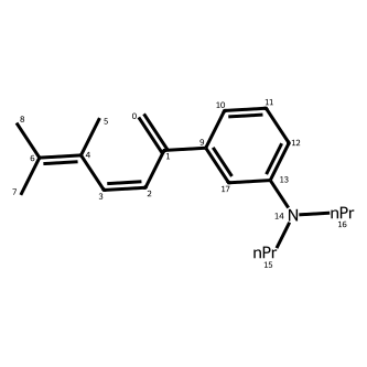 C=C(/C=C\C(C)=C(C)C)c1cccc(N(CCC)CCC)c1